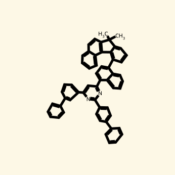 CC1(C)c2cccc(-c3ccc(-c4cc(-c5cccc(-c6ccccc6)c5)nc(-c5ccc(-c6ccccc6)cc5)n4)c4ccccc34)c2-c2c1ccc1ccccc21